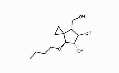 CCCCO[C@@H]1[C@@H](O)C(O)[C@@H](CO)C12CC2